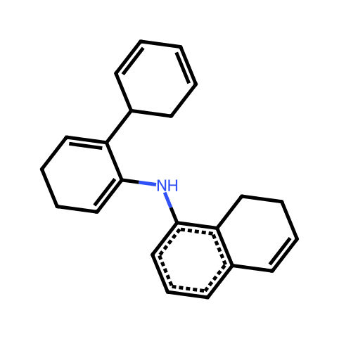 C1=CCC(C2=CCCC=C2Nc2cccc3c2CCC=C3)C=C1